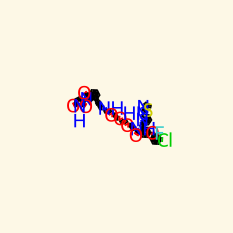 O=C1CCC(N2Cc3c(C#CCNCCOCCOCCOCCNC(=O)[C@H]4CC[C@H](Oc5cccc(Cl)c5F)CC4Cc4cccc(Nc5nccs5)n4)cccc3C2=O)C(=O)N1